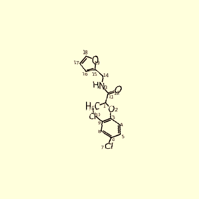 CC(Oc1ccc(Cl)cc1Cl)C(=O)NCc1ccco1